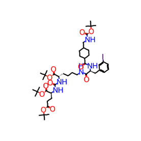 CC(C)(C)OC(=O)CC[C@H](NC(=O)N[C@@H](CCCCNC(=O)[C@H](Cc1cccc(I)c1)NC(=O)C1CCC(CNC(=O)OC(C)(C)C)CC1)C(=O)OC(C)(C)C)C(=O)OC(C)(C)C